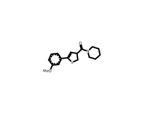 COc1cccc(C2=CC(C(=O)N3CCCCC3)CS2)c1